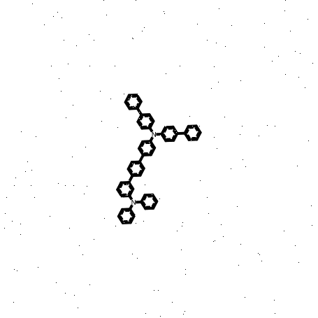 c1ccc(-c2ccc(N(c3ccc(-c4ccccc4)cc3)c3ccc(-c4ccc(-c5cccc(N(c6ccccc6)c6ccccc6)c5)cc4)cc3)cc2)cc1